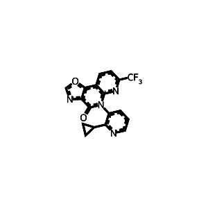 O=c1c2ncoc2c2ccc(C(F)(F)F)nc2n1-c1cccnc1C1CC1